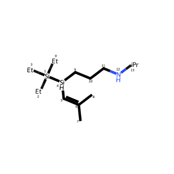 CC[Si](CC)(CC)[SiH](C=C(C)C)CCCNC(C)C